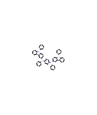 Cc1cc(N(c2ccccc2)c2ccc3c(c2)c2ccccc2n3-c2ccccc2)c(C)cc1N(c1ccccc1)c1ccc2c(c1)c1ccccc1n2-c1ccccc1